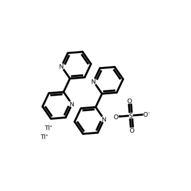 O=S(=O)([O-])[O-].[Tl+].[Tl+].c1ccc(-c2ccccn2)nc1.c1ccc(-c2ccccn2)nc1